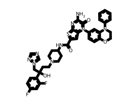 Nc1nc2sc(C(=O)NC3CCN(CCC(O)(Cn4cncn4)c4ccc(F)cc4F)CC3)cc2n(-c2ccc3c(c2)N(c2ccccc2)CCO3)c1=O